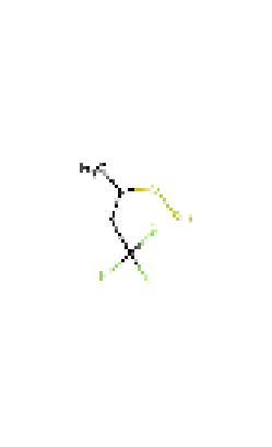 CC(CC(F)(F)F)SS